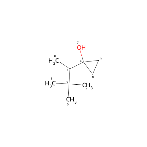 CC(C(C)(C)C)C1(O)CC1